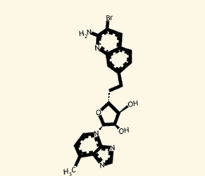 Cc1ccn([C@@H]2O[C@H](CCc3ccc4cc(Br)c(N)nc4c3)[C@@H](O)[C@H]2O)c2ncnc1-2